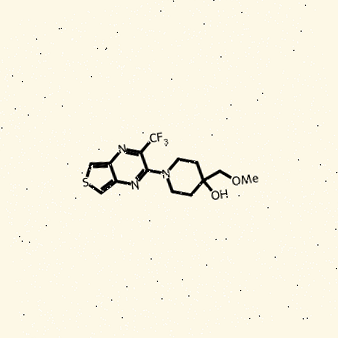 COCC1(O)CCN(c2nc3cscc3nc2C(F)(F)F)CC1